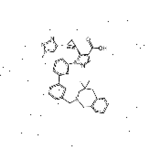 Cn1cc([C@@H]2C[C@H]2c2c(C(=O)O)cnn2-c2cccc(-c3cccc(CN4Cc5ccccc5CC(C)(C)C4)c3)c2)nn1